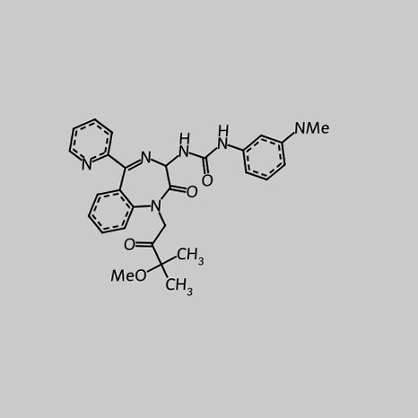 CNc1cccc(NC(=O)NC2N=C(c3ccccn3)c3ccccc3N(CC(=O)C(C)(C)OC)C2=O)c1